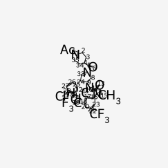 CC(=O)N1CCC(C(=O)N2C[C@@H](N(C)C(=O)N(C)c3cc(C(F)(F)F)cc(C(F)(F)F)c3)[C@H](c3ccc(Cl)c(Cl)c3)C2)CC1